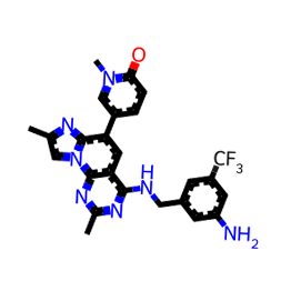 Cc1cn2c(n1)c(-c1ccc(=O)n(C)c1)cc1c(NCc3cc(N)cc(C(F)(F)F)c3)nc(C)nc12